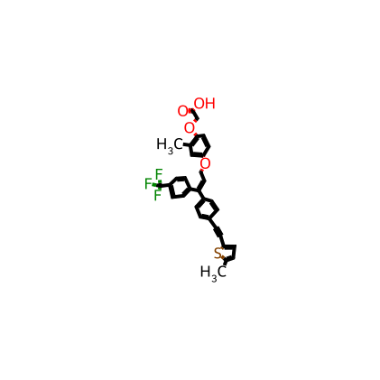 Cc1ccc(C#Cc2ccc(C(=CCOc3ccc(OCC(=O)O)c(C)c3)c3ccc(C(F)(F)F)cc3)cc2)s1